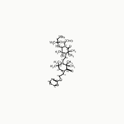 CC(C)(C)CC(C)(C)NC1N(C[C]=O)C(=O)C(C)(C)N(CCN2C(C)(C)CN(CCOc3n[c]ncn3)C(=O)C2(C)C)C1(C)C